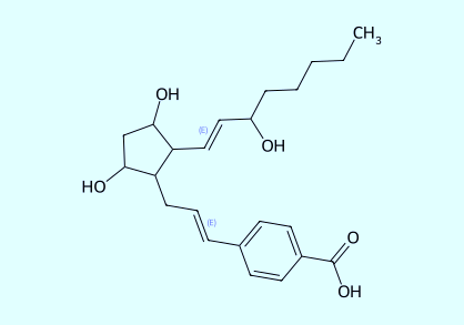 CCCCCC(O)/C=C/C1C(O)CC(O)C1C/C=C/c1ccc(C(=O)O)cc1